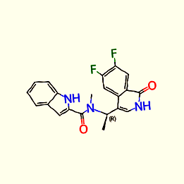 C[C@H](c1c[nH]c(=O)c2cc(F)c(F)cc12)N(C)C(=O)c1cc2ccccc2[nH]1